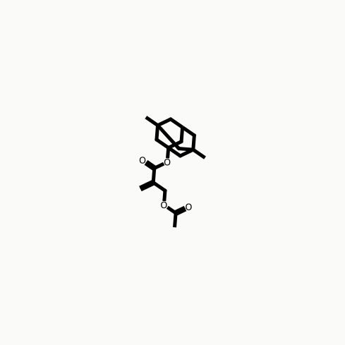 C=C(COC(C)=O)C(=O)OC12CC3CC(C)(CC(C)(C3)C1)C2